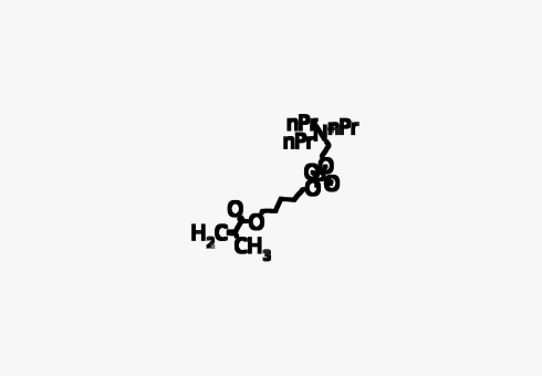 C=C(C)C(=O)OCCCCCOP(=O)([O-])OCC[N+](CCC)(CCC)CCC